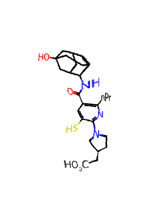 CCCc1nc(N2CC[C@@H](CC(=O)O)C2)c(S)cc1C(=O)NC1C2CC3CC1CC(O)(C3)C2